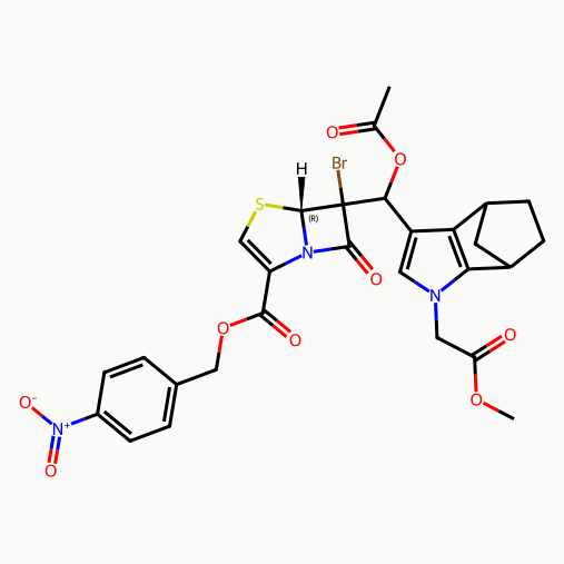 COC(=O)Cn1cc(C(OC(C)=O)C2(Br)C(=O)N3C(C(=O)OCc4ccc([N+](=O)[O-])cc4)=CS[C@@H]32)c2c1C1CCC2C1